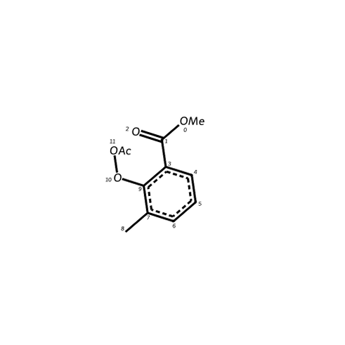 COC(=O)c1cccc(C)c1OOC(C)=O